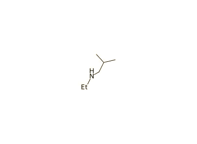 CCNCC(C)C